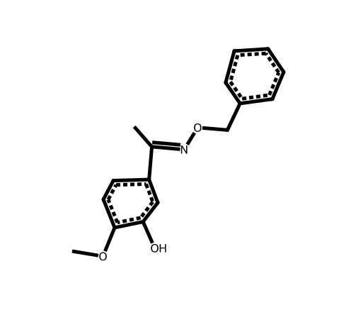 COc1ccc(/C(C)=N/OCc2ccccc2)cc1O